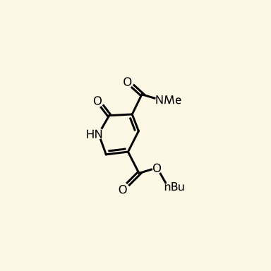 CCCCOC(=O)c1c[nH]c(=O)c(C(=O)NC)c1